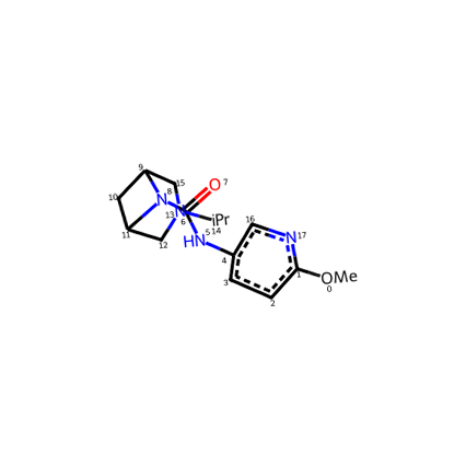 COc1ccc(NC(=O)N2C3CC2CN(C(C)C)C3)cn1